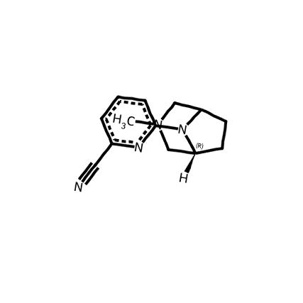 CN1CC2CC[C@H](C1)N2c1cccc(C#N)n1